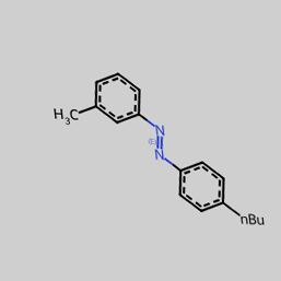 CCCCc1ccc(/N=N/c2cccc(C)c2)cc1